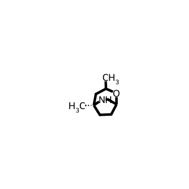 CC1C[C@]2(C)CCC(CN2)O1